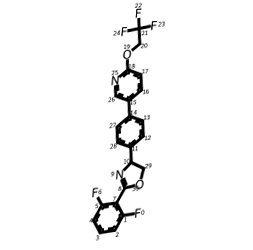 Fc1cccc(F)c1C1=NC(c2ccc(-c3ccc(OCC(F)(F)F)nc3)cc2)CO1